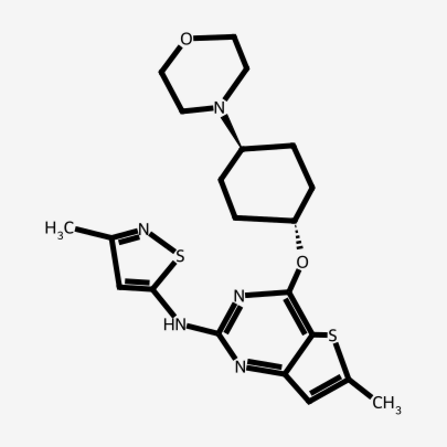 Cc1cc(Nc2nc(O[C@H]3CC[C@H](N4CCOCC4)CC3)c3sc(C)cc3n2)sn1